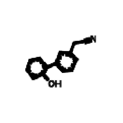 N#CCc1cccc(-c2ccccc2O)c1